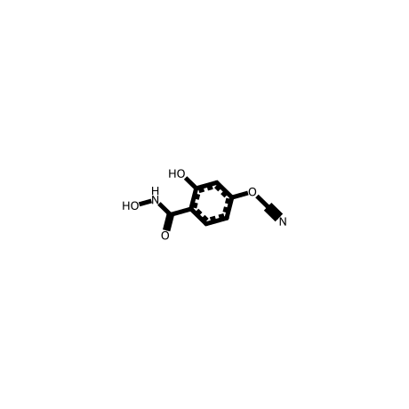 N#COc1ccc(C(=O)NO)c(O)c1